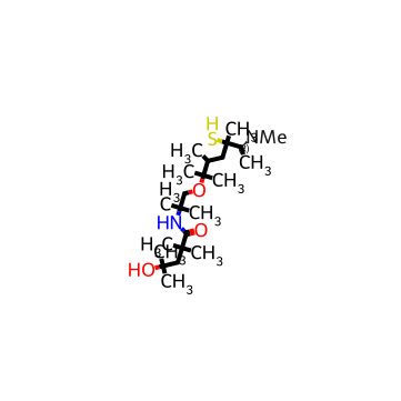 CN[C@H](C)C(C)(S)CC(C)C(C)(C)OCC(C)(C)NC(=O)C(C)(C)CC(C)(C)O